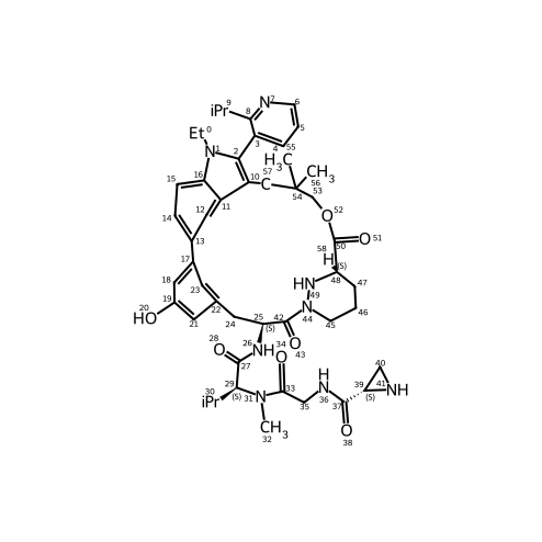 CCn1c(-c2cccnc2C(C)C)c2c3cc(ccc31)-c1cc(O)cc(c1)C[C@H](NC(=O)[C@H](C(C)C)N(C)C(=O)CNC(=O)[C@@H]1CN1)C(=O)N1CCC[C@H](N1)C(=O)OCC(C)(C)C2